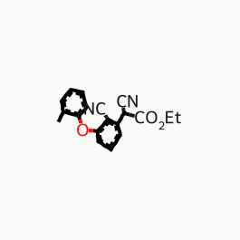 CCOC(=O)C(C#N)c1cccc(Oc2ccccc2C)c1C#N